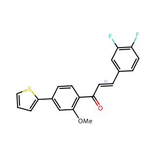 COc1cc(-c2cccs2)ccc1C(=O)/C=C/c1ccc(F)c(F)c1